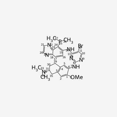 COc1cc2c(cc1Nc1ncc(Br)c(Nc3ccc4nccnc4c3P(C)C)n1)CCC(N(C)C)C2